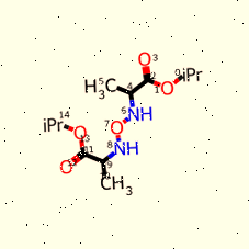 CC(C)OC(=O)C(C)NONC(C)C(=O)OC(C)C